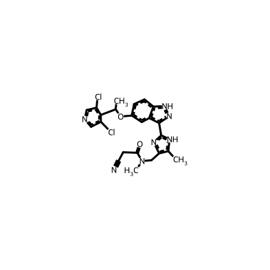 Cc1[nH]c(-c2n[nH]c3ccc(OC(C)c4c(Cl)cncc4Cl)cc23)nc1CN(C)C(=O)CC#N